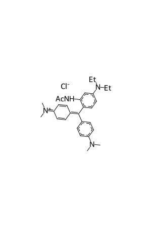 CCN(CC)c1ccc(C(=C2C=CC(=[N+](C)C)C=C2)c2ccc(N(C)C)cc2)c(NC(C)=O)c1.[Cl-]